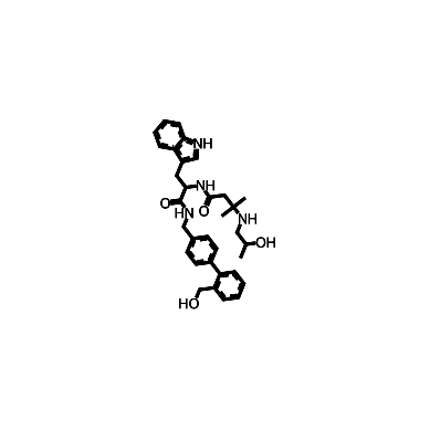 CC(O)CNC(C)(C)CC(=O)NC(Cc1c[nH]c2ccccc12)C(=O)NCc1ccc(-c2ccccc2CO)cc1